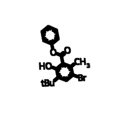 Cc1c(Br)cc(C(C)(C)C)c(O)c1C(=O)Oc1ccccc1